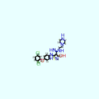 N=C(NCCN1CCNCC1)c1c(O)nsc1Nc1ccc(Oc2cc(Cl)ccc2Cl)cc1